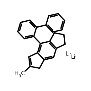 CC1=Cc2c(cc3c(c2-c2ccccc2-c2ccccc2)CCC3)C1.[Li].[Li]